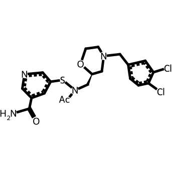 CC(=O)N(C[C@@H]1CN(Cc2ccc(Cl)c(Cl)c2)CCO1)Sc1cncc(C(N)=O)c1